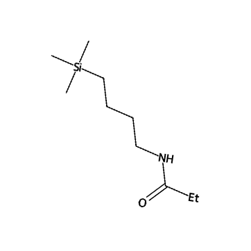 CCC(=O)NCCCC[Si](C)(C)C